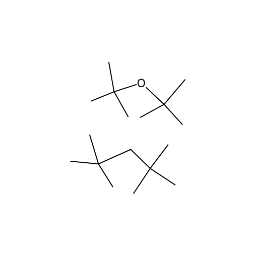 CC(C)(C)CC(C)(C)C.CC(C)(C)OC(C)(C)C